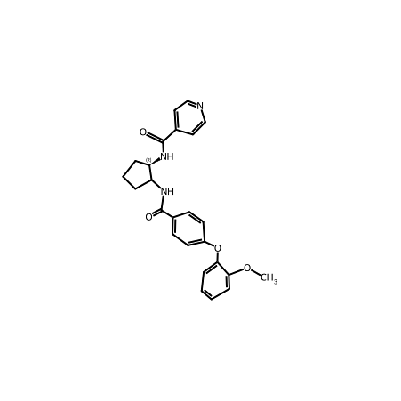 COc1ccccc1Oc1ccc(C(=O)NC2CCC[C@H]2NC(=O)c2ccncc2)cc1